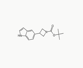 CC(C)(C)OC(=O)N1CC(c2ccc3[nH]ccc3c2)C1